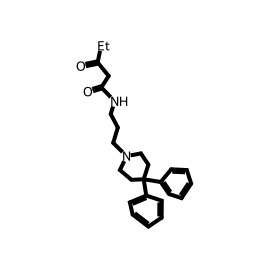 CCC(=O)CC(=O)NCCCN1CCC(c2ccccc2)(c2ccccc2)CC1